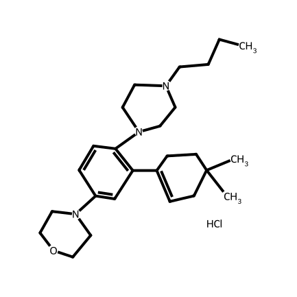 CCCCN1CCN(c2ccc(N3CCOCC3)cc2C2=CCC(C)(C)CC2)CC1.Cl